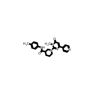 Cc1ccc(NC(=O)C2CCCN(c3nc(-c4ccncc4)cc(=O)n3C)C2)cc1